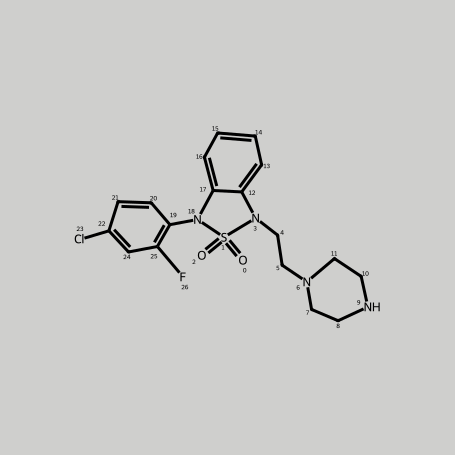 O=S1(=O)N(CCN2CCNCC2)c2ccccc2N1c1ccc(Cl)cc1F